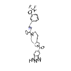 O=C(/C=C/c1cccc(OC(F)(F)F)c1)N1CCC2CN(C(=O)c3ccc4[nH]nnc4c3)CC2CC1